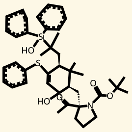 CC(=O)[C@]1(C[C@@H]2C(C)(C)[C@H](CC(C)(C)[Si](O)(c3ccccc3)c3ccccc3)C(Sc3ccccc3)=C[C@]2(C)O)CCCN1C(=O)OC(C)(C)C